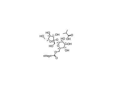 CC(C)C(=O)O.CCCCCCCC(=O)OC[C@H]1O[C@H](O[C@]2(CO)O[C@H](CO)[C@@H](O)[C@@H]2O)[C@H](O)[C@@H](O)[C@@H]1O